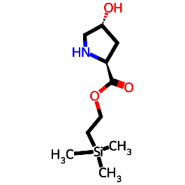 C[Si](C)(C)CCOC(=O)[C@@H]1C[C@@H](O)CN1